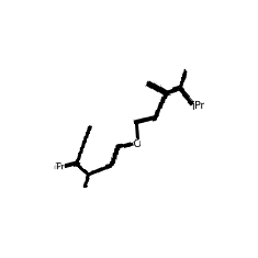 CC(C)C(C)C(C)CCOCCC(C)C(C)C(C)C